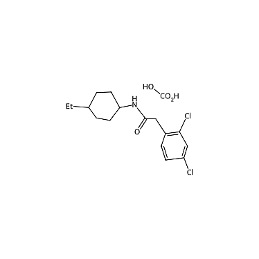 CCC1CCC(NC(=O)Cc2ccc(Cl)cc2Cl)CC1.O=C(O)O